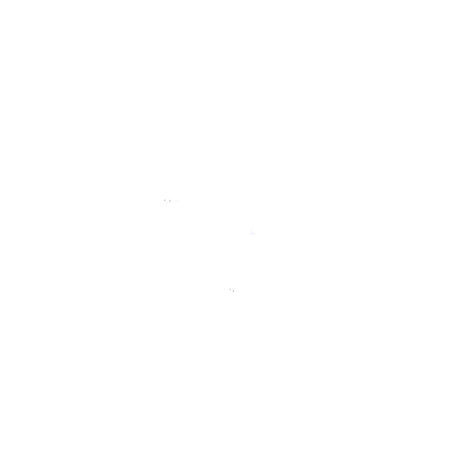 COc1cccc(/C(=C/CCBr)c2cccnc2)c1